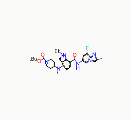 CCn1cc2c(N(C)C3CCN(C(=O)OC(C)(C)C)CC3)ccc(C(=O)Nc3cc(F)c4nc(C)cn4c3)c2n1